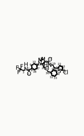 O=C(NCC(F)(F)F)c1ccc(-n2nnc(C(=O)NCCc3ccc(Cl)s3)c2COCc2ccccc2)cc1